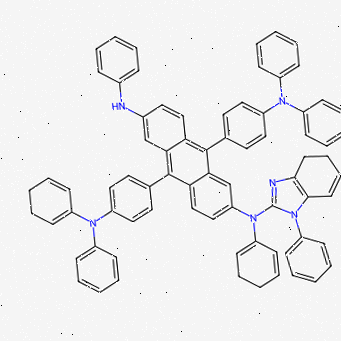 C1=CC(N(c2ccccc2)c2ccc(-c3c4ccc(N(C5=CCCC=C5)c5nc6c(n5-c5ccccc5)C=CCC6)cc4c(-c4ccc(N(c5ccccc5)c5ccccc5)cc4)c4ccc(Nc5ccccc5)cc34)cc2)=CCC1